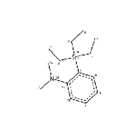 C[CH2][Sn]([CH2]C)([CH2]C)[c]1ccccc1N(C)C